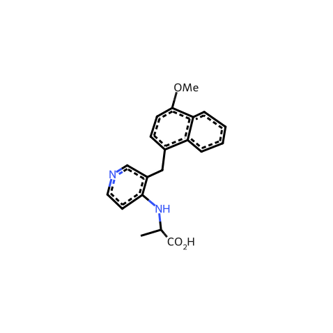 COc1ccc(Cc2cnccc2NC(C)C(=O)O)c2ccccc12